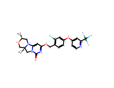 C[C@H]1CN2c3cc(OCc4ccc(Oc5ccnc(C(F)(F)F)c5)cc4F)nc(=O)n3C[C@]2(C)CO1